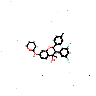 Cc1ccc(C2Oc3cc(OC4CCCCO4)ccc3C(C)(O)C2c2cc(F)cc(F)c2)cc1